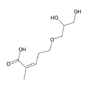 CC(=CCCOCC(O)CO)C(=O)O